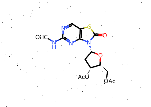 CC(=O)OC[C@H]1O[C@@H](n2c(=O)sc3cnc(NC=O)nc32)C[C@H]1OC(C)=O